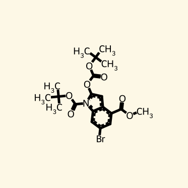 COC(=O)c1cc(Br)cc2c1cc(OC(=O)OC(C)(C)C)n2C(=O)OC(C)(C)C